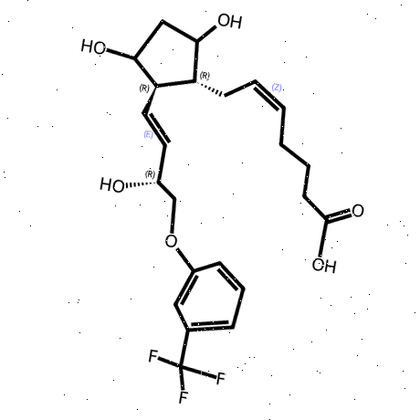 O=C(O)CCC/C=C\C[C@H]1C(O)CC(O)[C@@H]1/C=C/[C@@H](O)COc1cccc(C(F)(F)F)c1